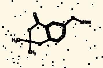 CCCCCCOc1ccc2c(c1)C(=O)OC(C)(C)O2